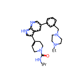 CCN1CCN(Cc2cccc(-c3cnc4[nH]cc(C5=CCN(C(=O)NC(C)C)CC5)c4c3)c2)CC1